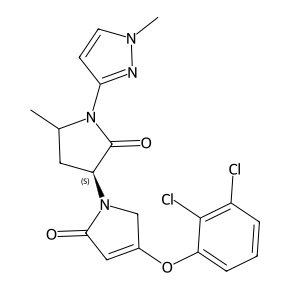 CC1C[C@H](N2CC(Oc3cccc(Cl)c3Cl)=CC2=O)C(=O)N1c1ccn(C)n1